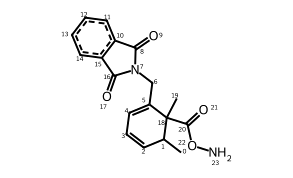 CC1C=CC=C(CN2C(=O)c3ccccc3C2=O)C1(C)C(=O)ON